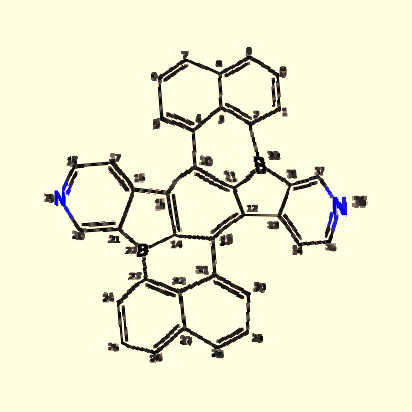 c1cc2c3c(cccc3c1)-c1c3c(c4c5c1-c1ccncc1B5c1cccc5cccc-4c15)-c1ccncc1B32